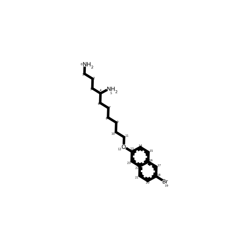 NCCCC(N)CCCCCCOc1ccc2cc(Br)ccc2c1